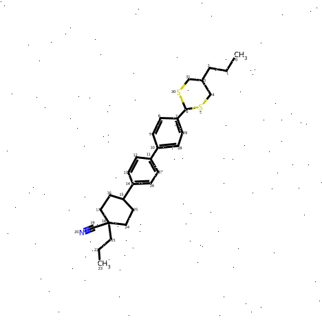 CCCC1CSC(c2ccc(-c3ccc(C4CCC(C#N)(CCC)CC4)cc3)cc2)SC1